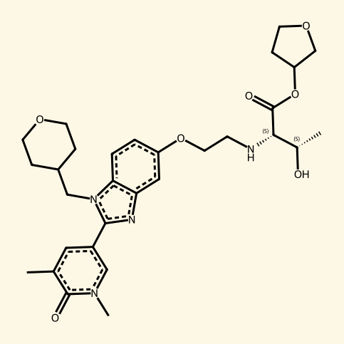 Cc1cc(-c2nc3cc(OCCN[C@H](C(=O)OC4CCOC4)[C@H](C)O)ccc3n2CC2CCOCC2)cn(C)c1=O